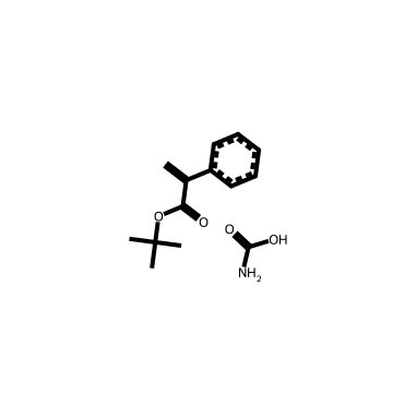 C=C(C(=O)OC(C)(C)C)c1ccccc1.NC(=O)O